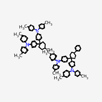 Cc1ccc(N(c2ccc(C)cc2)c2ccc(C3(c4ccc(N(c5ccc(C)cc5)c5ccc(C)cc5)cc4)CCC(C)CC3)cc2)cc1.Cc1ccc(N(c2ccc(C)cc2)c2ccc(C3(c4ccc(N(c5ccc(C)cc5)c5ccc(C)cc5)cc4)CCC(c4ccccc4)CC3)cc2)cc1